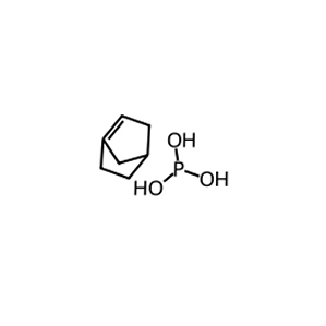 C1=C2CCC(C1)C2.OP(O)O